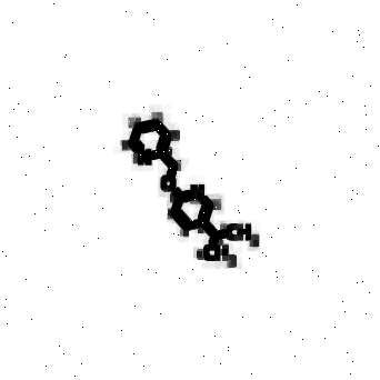 CC(C)c1ccc(OCc2ccccn2)nc1